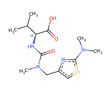 CC(C)[C@H](NC(=O)N(C)Cc1csc(N(C)C)n1)C(=O)O